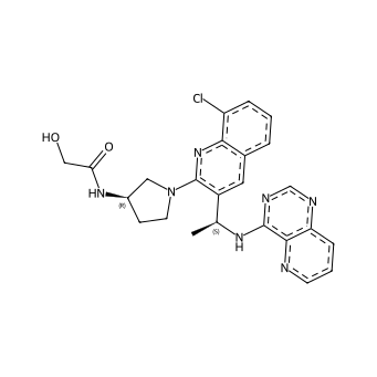 C[C@H](Nc1ncnc2cccnc12)c1cc2cccc(Cl)c2nc1N1CC[C@@H](NC(=O)CO)C1